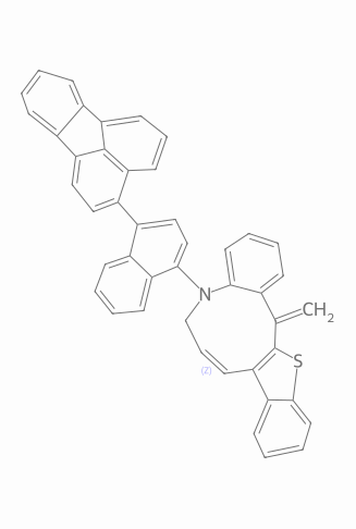 C=C1c2ccccc2N(c2ccc(-c3ccc4c5c(cccc35)-c3ccccc3-4)c3ccccc23)C/C=C\c2c1sc1ccccc21